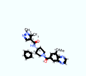 COc1cc(C(=O)N2CC[C@@H](NC(=O)c3cnn(C)c3C(F)(F)F)[C@@H](c3ccccc3)C2)cc2nccnc12